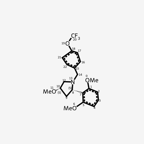 COc1cccc(OC)c1[C@@H]1C[C@H](OC)CN1Cc1ccc(OC(F)(F)F)cc1